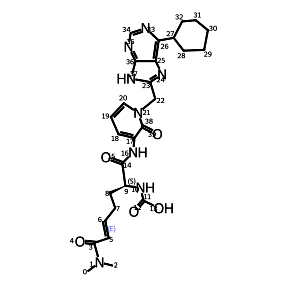 CN(C)C(=O)/C=C/CC[C@H](NC(=O)O)C(=O)Nc1cccn(Cc2nc3c(C4CCCCC4)ncnc3[nH]2)c1=O